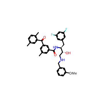 COc1cccc(CNC[C@@H](O)[C@H](Cc2cc(F)cc(F)c2)NC(=O)c2cc(C)cc(C(=O)c3cc(C)ccc3C)c2)c1